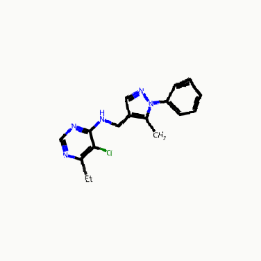 CCc1ncnc(NCc2cnn(-c3ccccc3)c2C)c1Cl